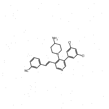 N#Cc1cccc(/C=C/c2cncc(-c3cc(Cl)cc(Cl)c3)c2N2CCC(N)CC2)c1